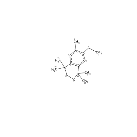 [CH2]Cc1cc2c(cc1C)C(C)(C)CCC2(C)C